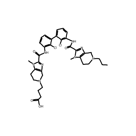 CCCN1CCc2c(nc(C(=O)Nc3cccc(-c4cccc(NC(=O)c5nc6c(n5C)CCN(CCCC(=O)O)C6)c4Cl)c3Cl)n2C)C1